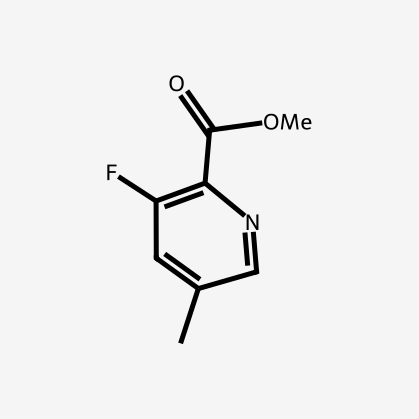 COC(=O)c1ncc(C)cc1F